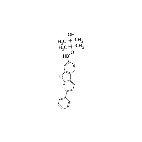 CC(C)(O)C(C)(C)OBc1ccc2c(c1)oc1cc(-c3ccccc3)ccc12